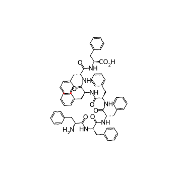 N[C@@H](Cc1ccccc1)C(=O)N[C@H](Cc1ccccc1)C(=O)N[C@@H](Cc1ccccc1)C(=O)N[C@H](Cc1ccccc1)C(=O)N[C@@H](Cc1ccccc1)C(=O)N[C@H](Cc1ccccc1)C(=O)N[C@@H](Cc1ccccc1)C(=O)O